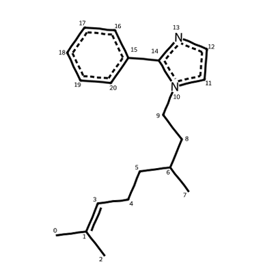 CC(C)=CCCC(C)CCn1ccnc1-c1ccccc1